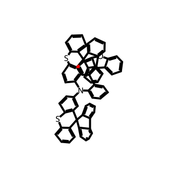 c1ccc2c(c1)Sc1ccc(N(c3ccc4c(c3)C3(c5ccccc5S4)c4ccccc4-c4ccccc43)c3ccccc3-c3cccc4oc5ccccc5c34)cc1C21c2ccccc2-c2ccccc21